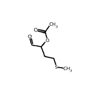 CSCCC(C=O)OC(C)=O